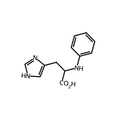 O=C(O)C(Cc1c[nH]cn1)Nc1ccccc1